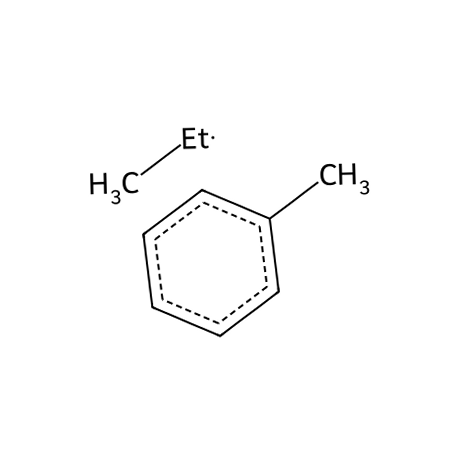 C[CH]C.Cc1ccccc1